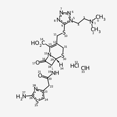 CN(C)CCn1nnnc1SCC1=C(C(=O)O)N2C(=O)[C@@H](NC(=O)Cc3csc(N)n3)[C@H]2SC1.Cl.Cl